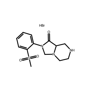 Br.CS(=O)(=O)c1ccccc1N1CN2CCNCC2C1=O